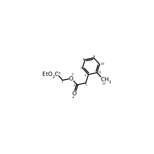 CCOC(=O)COC(=O)Cc1ccccc1C